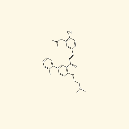 Cc1ccccc1-c1ccc(OCCN(C)C)c(C(=O)C=Cc2ccc(O)c(CN(C)C)c2)c1